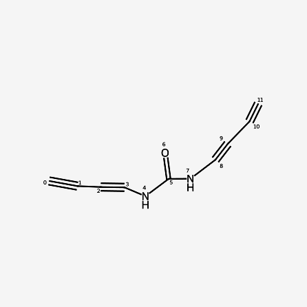 C#CC#CNC(=O)NC#CC#C